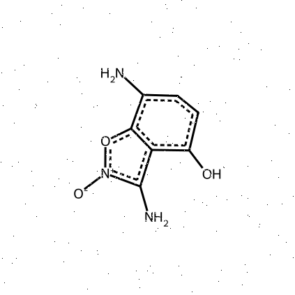 Nc1ccc(O)c2c(N)[n+]([O-])oc12